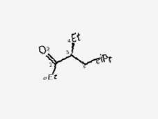 CCC(=O)[C@@H](CC)CC(C)C